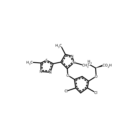 Cc1nnc(-c2c(C)nn(C)c2Oc2cc(O[C@@H](C)C(=O)O)c(Cl)cc2Cl)s1